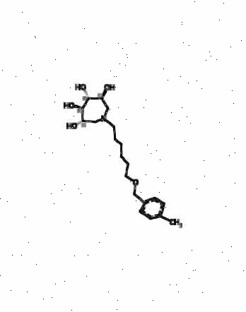 Cc1ccc(COCCCCCCN2C[C@H](O)[C@@H](O)[C@H](O)[C@@H](O)C2)cc1